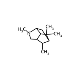 CC1C2CN(C)C3CC1C(C)(C)C23